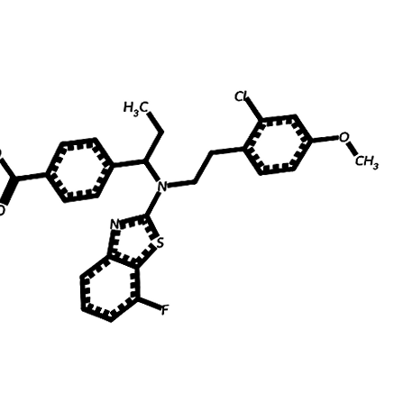 CCC(c1ccc(C(=O)O)cc1)N(CCc1ccc(OC)cc1Cl)c1nc2cccc(F)c2s1